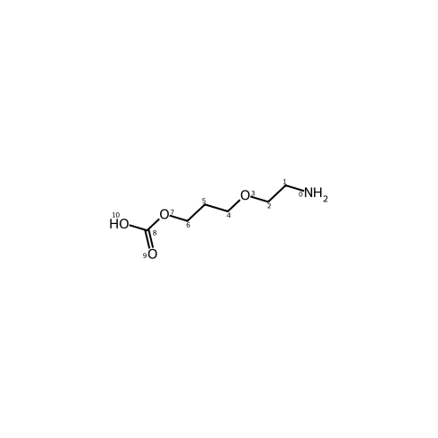 NCCOCCCOC(=O)O